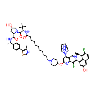 C#Cc1c(F)ccc2cc(O)cc(-c3ncc4c(N5CC6CCC(C5)N6)cc(OC5CCN(CCCCCCCCCCC(=O)NC(C(=O)N6C[C@H](O)C[C@H]6C(=O)N[C@@H](C)c6ccc(-c7scnc7C)cc6)C(C)(C)C)CC5)nc4c3F)c12